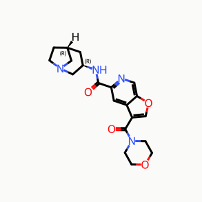 O=C(N[C@@H]1C[C@H]2CCN(C2)C1)c1cc2c(C(=O)N3CCOCC3)coc2cn1